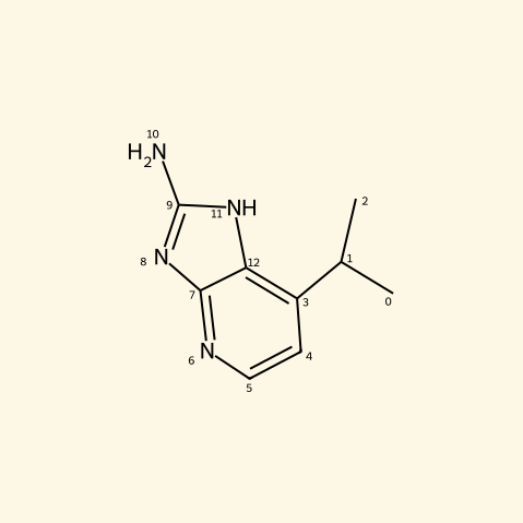 CC(C)c1ccnc2nc(N)[nH]c12